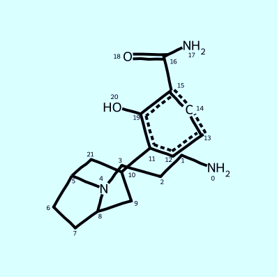 NCCCN1C2CCC1CC(c1cccc(C(N)=O)c1O)C2